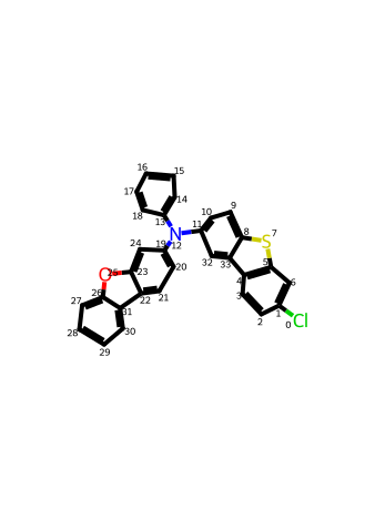 Clc1ccc2c(c1)sc1ccc(N(c3ccccc3)c3ccc4c(c3)oc3ccccc34)cc12